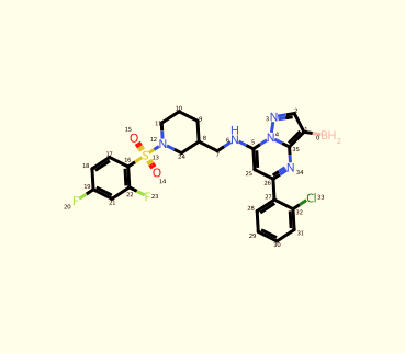 Bc1cnn2c(NCC3CCCN(S(=O)(=O)c4ccc(F)cc4F)C3)cc(-c3ccccc3Cl)nc12